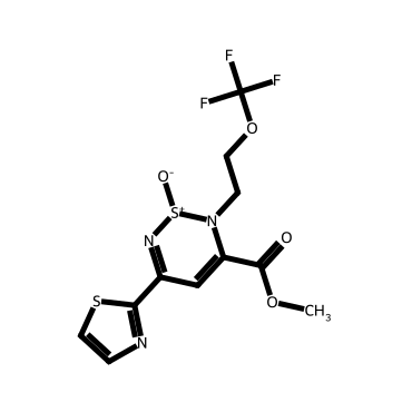 COC(=O)C1=CC(c2nccs2)=N[S+]([O-])N1CCOC(F)(F)F